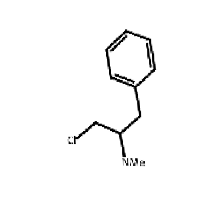 CNC(CCl)Cc1ccccc1